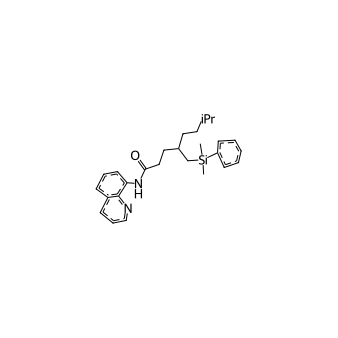 CC(C)CCC(CCC(=O)Nc1cccc2cccnc12)C[Si](C)(C)c1ccccc1